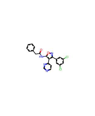 O=C(Cc1ccccc1)Nc1onc(-c2cc(Cl)cc(Cl)c2)c1-c1ccncn1